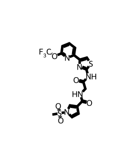 CS(=O)(=O)n1ccc(C(=O)NCC(=O)Nc2nc(-c3cccc(OC(F)(F)F)n3)cs2)c1